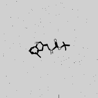 Cc1cccc2c1CC(CNC(=O)OC(C)(C)C)CN2